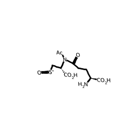 CC(=O)N(C(=O)CC[C@H](N)C(=O)O)[C@@H](C[S+]=O)C(=O)O